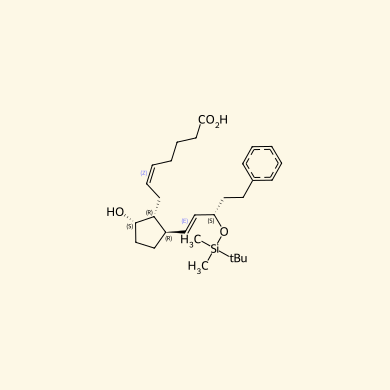 CC(C)(C)[Si](C)(C)O[C@H](/C=C/[C@H]1CC[C@H](O)[C@@H]1C/C=C\CCCC(=O)O)CCc1ccccc1